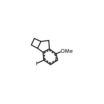 COc1ccc(I)c2c1CC1CCC21